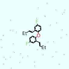 CC/C=C/c1cc(F)ccc1Oc1ccc(F)cc1/C=C/CC